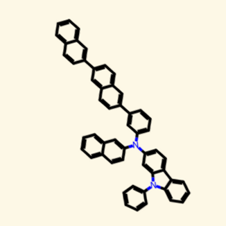 c1ccc(-n2c3ccccc3c3ccc(N(c4cccc(-c5ccc6cc(-c7ccc8ccccc8c7)ccc6c5)c4)c4ccc5ccccc5c4)cc32)cc1